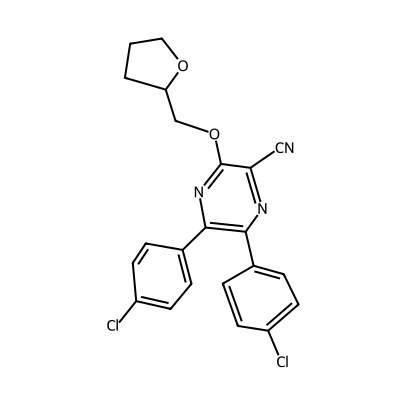 N#Cc1nc(-c2ccc(Cl)cc2)c(-c2ccc(Cl)cc2)nc1OCC1CCCO1